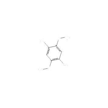 COc1cc([NH])c(OC)cc1[NH]